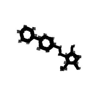 Cc1sc(C)c(CCc2ccc(-c3ccccc3)cc2)c1Br